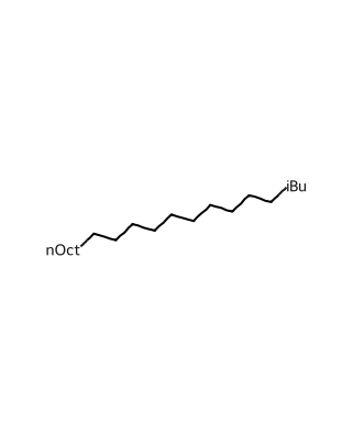 CCCCCCCCCCCCCCCCCCC(C)CC